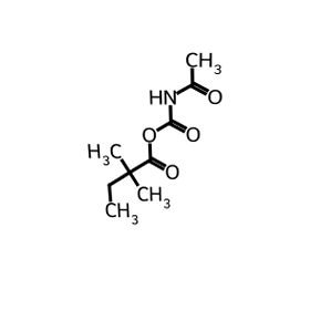 CCC(C)(C)C(=O)OC(=O)NC(C)=O